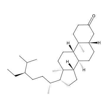 CC[C@H](CC[C@@H](C)[C@H]1CC[C@H]2[C@@H]3CC[C@H]4CC(=O)CC[C@]4(C)[C@H]3CC[C@]12C)C(C)C